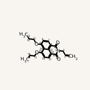 C=CCN1C(=O)c2ccc(OCCC)c3c(OCCC)ccc(c23)C1=O